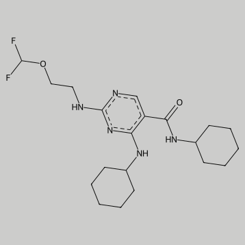 O=C(NC1CCCCC1)c1cnc(NCCOC(F)F)nc1NC1CCCCC1